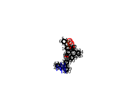 O=S1(=O)c2ccccc2-c2cc3c(cc21)C1(c2ccccc2-c2ccccc2-c2ccc(-c4ccc5c(c4)c4cccnc4n5-c4ccccn4)cc21)c1ccccc1-3